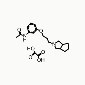 CC(=O)Nc1cccc(OCCCN2CC3CCCC3C2)c1.O=C(O)C(=O)O